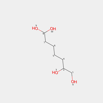 OCC(O)CCCCC(O)O